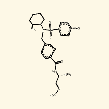 COC[C@@H](N)NC(=O)c1ccc(CN(C2CCCCC2C)S(=O)(=O)c2ccc(Cl)cc2)cc1